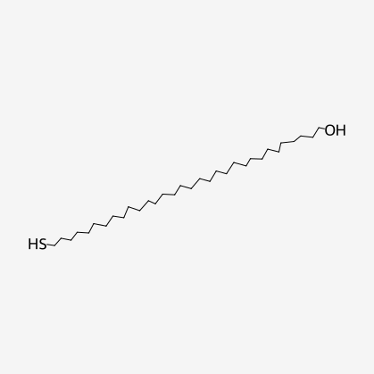 OCCCCCCCCCCCCCCCCCCCCCCCCCCCCCCCCS